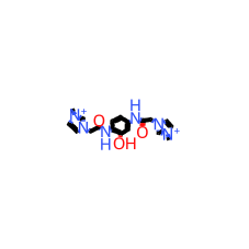 C[n+]1ccn(CC(=O)Nc2ccc(NC(=O)Cn3cc[n+](C)c3)c(O)c2)c1